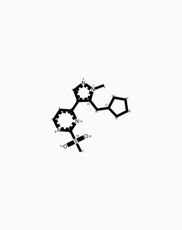 Cn1ncc(-c2ccnc(S(C)(=O)=O)n2)c1CC1CCCC1